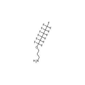 NCCCOC(F)(F)C(F)(F)C(F)(F)C(F)(F)C(F)(F)C(F)(F)F